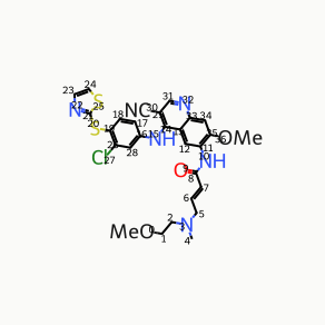 COCCN(C)C/C=C/C(=O)Nc1cc2c(Nc3ccc(Sc4nccs4)c(Cl)c3)c(C#N)cnc2cc1OC